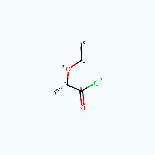 CCO[C@@H](C)C(=O)Cl